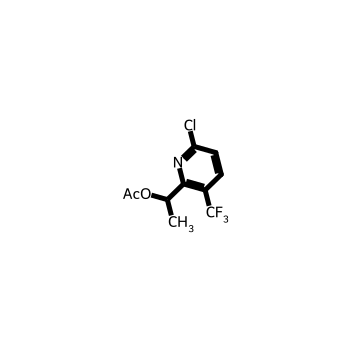 CC(=O)OC(C)c1nc(Cl)ccc1C(F)(F)F